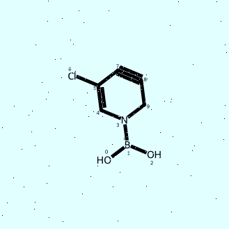 OB(O)N1C=C(Cl)C#CC1